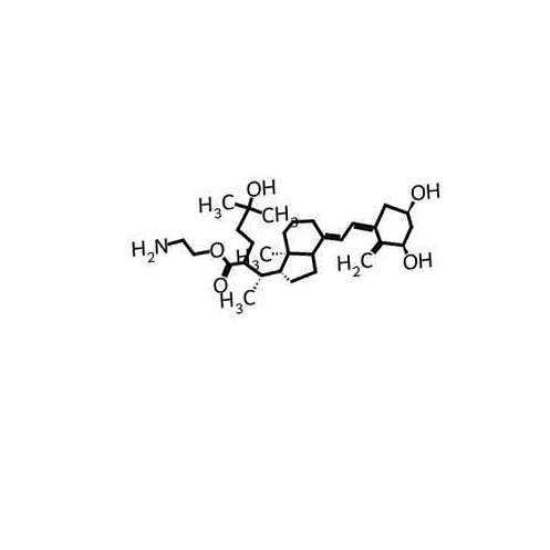 C=C1/C(=C\C=C2CCC[C@@]3(C)C2CC[C@@H]3[C@H](C)C(CCC(C)(C)O)C(=O)OCCN)C[C@@H](O)C[C@H]1O